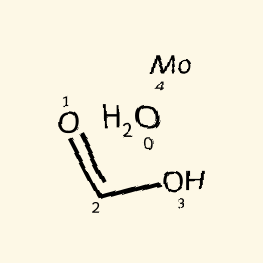 O.O=CO.[Mo]